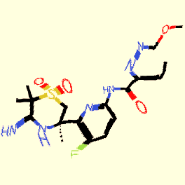 C/C=C(\N=N/COC)C(=O)Nc1ccc(F)c([C@]2(C)CS(=O)(=O)C(C)(C)C(=N)N2)n1